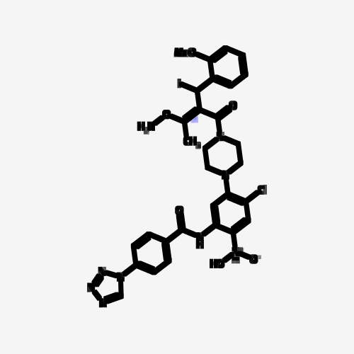 COc1ccccc1C(I)/C(C(=O)N1CCN(c2cc(NC(=O)c3ccc(-n4cnnn4)cc3)c([NH+]([O-])O)cc2Cl)CC1)=C(/C)ON